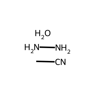 CC#N.NN.O